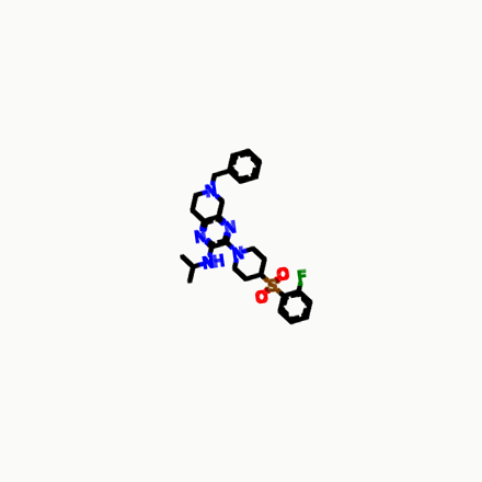 CC(C)Nc1nc2c(nc1N1CCC(S(=O)(=O)c3ccccc3F)CC1)CN(Cc1ccccc1)CC2